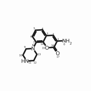 Nc1cc2cccc(N3CCNCC3)c2oc1=O